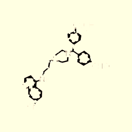 O=Cc1ccc(C(c2ccc(C(=O)O)cc2)N2CCN(CCCNc3ccnc4cc(Cl)ccc34)CC2)cc1